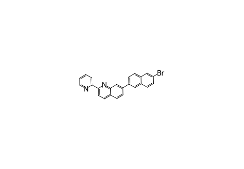 Brc1ccc2cc(-c3ccc4ccc(-c5ccccn5)nc4c3)ccc2c1